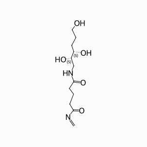 C=NC(=O)CCCC(=O)NC[C@H](O)[C@@H](O)CCCO